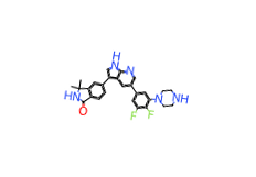 CC1(C)NC(=O)c2ccc(-c3c[nH]c4ncc(-c5cc(F)c(F)c(N6CCNCC6)c5)cc34)cc21